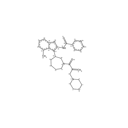 C=C(CN1CCOCC1)C(=O)N1CCCCC(n2c(NC(=O)c3ccnnc3)nc3cccc(C)c32)C1